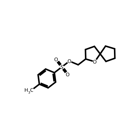 Cc1ccc(S(=O)(=O)OCC2CCC3(CCCC3)O2)cc1